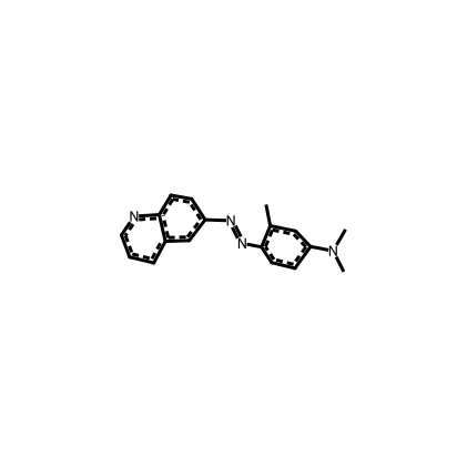 Cc1cc(N(C)C)ccc1N=Nc1ccc2ncccc2c1